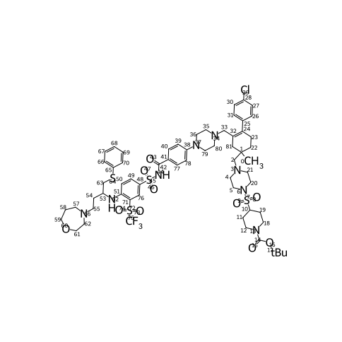 CC1(CN2CCN(S(=O)(=O)C3CCN(C(=O)OC(C)(C)C)CC3)CC2)CCC(c2ccc(Cl)cc2)=C(CN2CCN(c3ccc(C(=O)NS(=O)(=O)c4ccc(NC(CCN5CCCOCC5)CSc5ccccc5)c(S(=O)(=O)C(F)(F)F)c4)cc3)CC2)C1